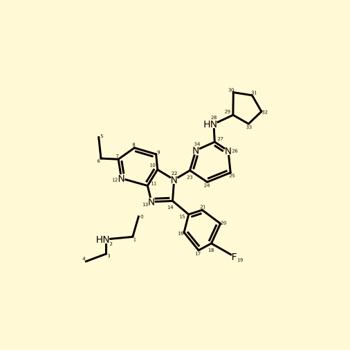 CCNCC.CCc1ccc2c(n1)nc(-c1ccc(F)cc1)n2-c1ccnc(NC2CCCC2)n1